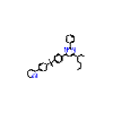 C/C=C\C=C(/CC)c1cc(-c2ccc(C(C)(C)c3ccc(-c4ccccn4)cc3)cc2)nc(-c2ccccc2)n1